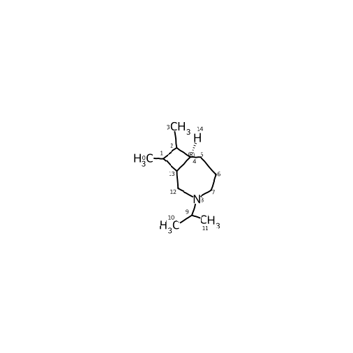 CC1C(C)[C@H]2CCCN(C(C)C)CC12